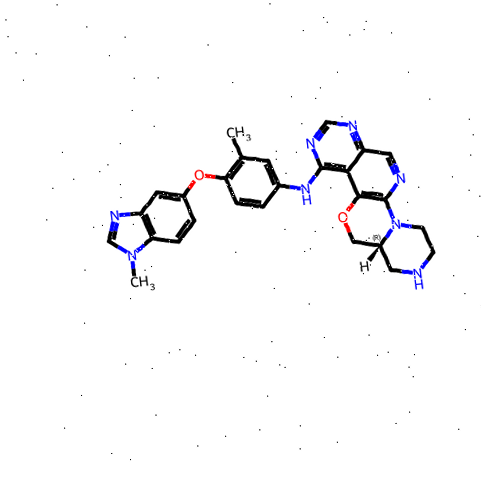 Cc1cc(Nc2ncnc3cnc4c(c23)OC[C@H]2CNCCN42)ccc1Oc1ccc2c(c1)ncn2C